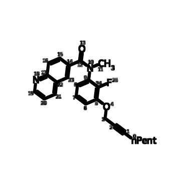 CCCCCC#CCOc1cccc(N(C)C(=O)c2ccc3ncccc3c2)c1F